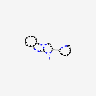 Cn1c(-c2ccccn2)cn2c3ccccc3nc12